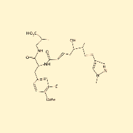 COc1ccc(CC(NC(=O)/C=C/CC(O)C(C)/C=C/c2cnn(C)c2)C(=O)NCC(C)C(=O)O)cc1Cl